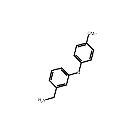 COc1ccc(Oc2cccc(CN)c2)cc1